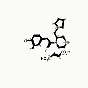 O=C(Cc1ccc(Cl)c(Cl)c1)N1CCNCC1CN1CCCC1.O=C(O)C=CC(=O)O